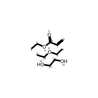 C=CC(=O)OCC.CCOCC.OCCO